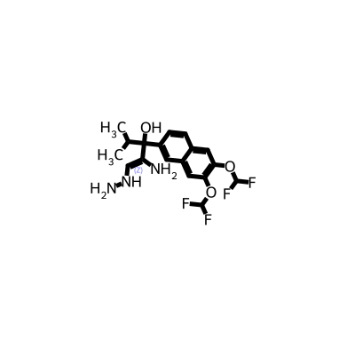 CC(C)C(O)(/C(N)=C/NN)c1ccc2cc(OC(F)F)c(OC(F)F)cc2c1